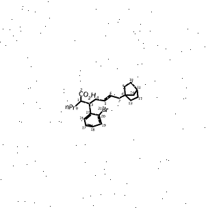 CCCC(C(=O)O)C(CC=CCC12CCC(CC1)C2)c1ccccc1Br